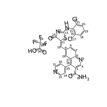 NC(=O)c1cnc2ccc(/C=C3\SC(Nc4c(Cl)cccc4Cl)=NC3=O)cc2c1-c1ccncc1.O=C(O)C(F)(F)F